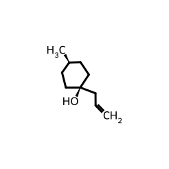 C=CC[C@]1(O)CC[C@@H](C)CC1